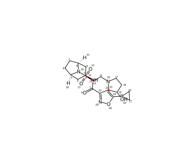 O=C(N[C@H]1C[C@H]2CC[C@@H](C1)N2S(=O)(=O)CCN1CCC(O)C1)c1cc(C2CC2)on1